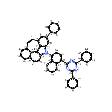 C1=Cc2cc(-c3ccccc3)cc3c2c2c4c1cccc4ccc2n3-c1ccc(-c2nc(-c3ccccc3)nc(-c3ccccc3)n2)c2ccccc12